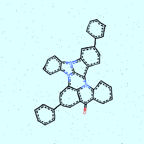 O=c1c2ccccc2n2c3c1cc(-c1ccccc1)cc3n1c3ccccc3n3c4cc(-c5ccccc5)ccc4c2c31